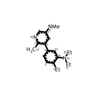 CCc1ccc(-c2cc(NC)cnc2C)cc1N(CC)CC